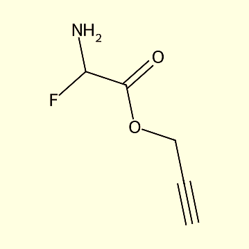 C#CCOC(=O)C(N)F